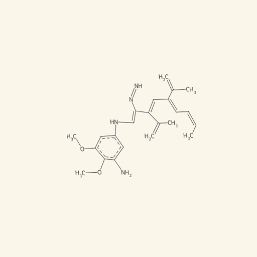 C=C(C)C(=C\C=C/C)/C=C(C(=C)C)/C(=C/Nc1cc(N)c(OC)c(OC)c1)N=N